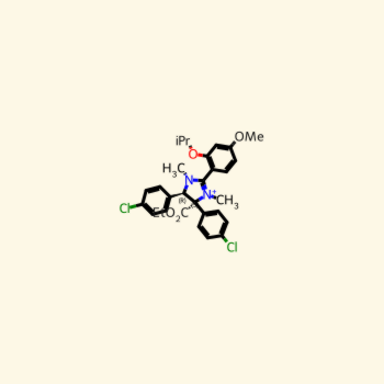 CCOC(=O)[C@]1(c2ccc(Cl)cc2)[C@@H](c2ccc(Cl)cc2)N(C)C(c2ccc(OC)cc2OC(C)C)=[N+]1C